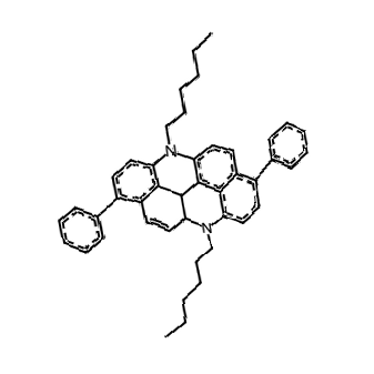 CCCCCCN1c2ccc(-c3ccccc3)c3c2C2c4c1ccc1c(-c5ccccc5)ccc(c41)N(CCCCCC)C2C=C3